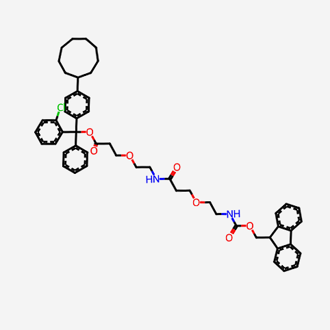 O=C(CCOCCNC(=O)OCC1c2ccccc2-c2ccccc21)NCCOCCC(=O)OC(c1ccccc1)(c1ccc(C2CCCCCCCC2)cc1)c1ccccc1Cl